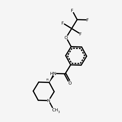 CN1CCC[C@@H](NC(=O)c2cccc(OC(F)(F)C(F)F)c2)C1